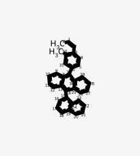 C/C=C\c1ccc(-c2c3ccccc3c(-c3cccc4ccccc34)c3ccccc23)cc1C